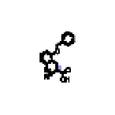 N#C/C(=C\c1c(Br)cccc1OCc1ccccc1)C(=O)O